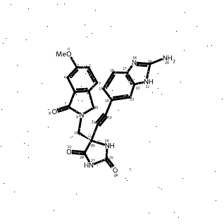 COc1ccc2c(c1)C(=O)N(C[C@@]1(C#Cc3ccc4nc(N)[nH]c4c3)NC(=O)NC1=O)C2